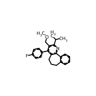 COCc1c(C(C)C)nc2c(c1-c1ccc(F)cc1)CCCc1ccccc1-2